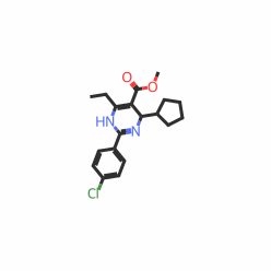 CCC1=C(C(=O)OC)C(C2CCCC2)N=C(c2ccc(Cl)cc2)N1